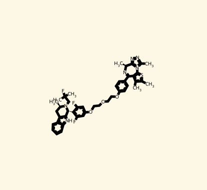 Cc1sc2c(c1C)C(c1ccc(OCCOCCOc3cc(F)c([C@@H]4c5[nH]c6ccccc6c5C[C@@H](C)N4CC(C)(C)F)c(F)c3)cc1)=N[C@@H](C)c1nnc(C)n1-2